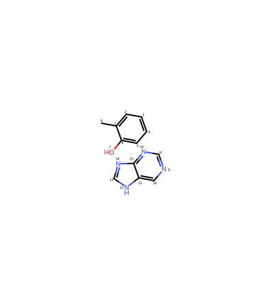 Cc1ccccc1O.c1ncc2[nH]cnc2n1